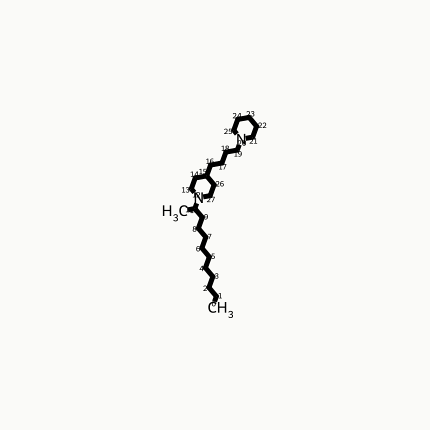 CCCCCCCCCCC(C)N1CCC(CCCCN2CCCCC2)CC1